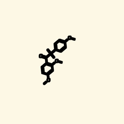 COc1ccc(C(C)(C)C(=O)c2ccc(OC)cc2OC)cc1